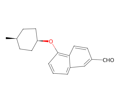 C[C@H]1CC[C@@H](Oc2cccc3cc(C=O)ccc23)CC1